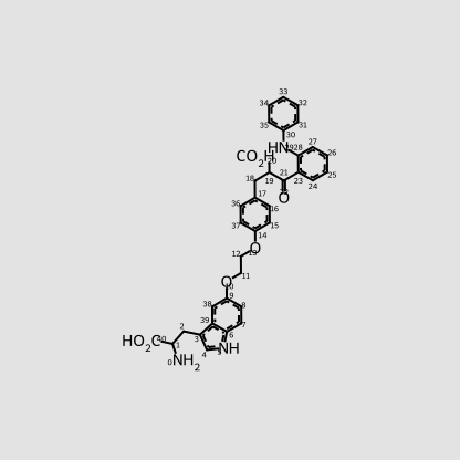 NC(Cc1c[nH]c2ccc(OCCOc3ccc(CC(C(=O)O)C(=O)c4ccccc4Nc4ccccc4)cc3)cc12)C(=O)O